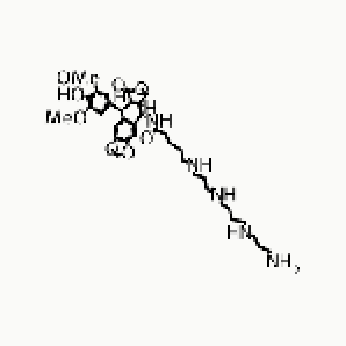 COc1cc(C2c3cc4c(cc3[C@@H](NC(=O)CCCCNCCCNCCCCNCCCN)[C@H]3COC(=O)[C@H]23)OCO4)cc(OC)c1O